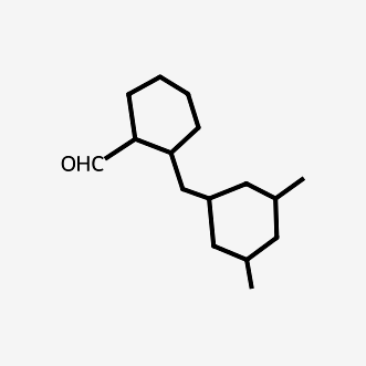 CC1CC(C)CC(CC2CCCCC2C=O)C1